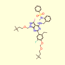 CCc1cc(OCOCC[Si](C)(C)C)c(F)cc1-c1nc(NCc2ccccc2N(C)S(=O)(=O)c2ccccc2)c2c(I)nn(COCC[Si](C)(C)C)c2n1